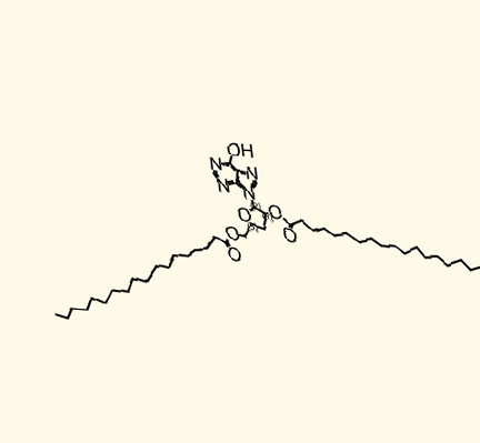 CCCCCCCCCCCCCCCCCC(=O)OC[C@@H]1C[C@@H](OC(=O)CCCCCCCCCCCCCCCCC)[C@H](n2cnc3c(O)ncnc32)O1